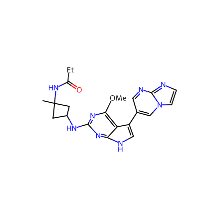 CCC(=O)NC1(C)CC(Nc2nc(OC)c3c(-c4cnc5nccn5c4)c[nH]c3n2)C1